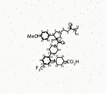 COc1ccc(C2CN(CCC(=O)N(C)C)C[C@@]2(F)C(=O)N2CCC(c3ccc(C(F)(F)F)cc3N3CCC(C(=O)O)CC3)CC2)cc1